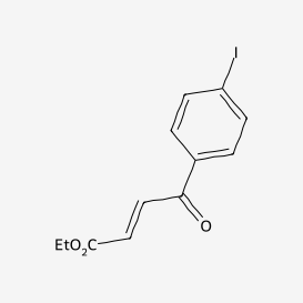 CCOC(=O)C=CC(=O)c1ccc(I)cc1